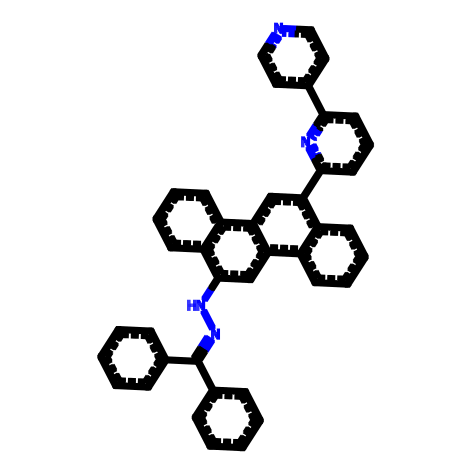 c1ccc(C(=NNc2cc3c4ccccc4c(-c4cccc(-c5ccncc5)n4)cc3c3ccccc23)c2ccccc2)cc1